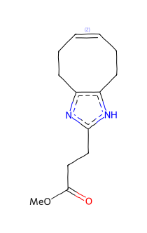 COC(=O)CCc1nc2c([nH]1)CC/C=C\CC2